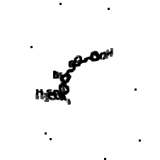 CC(C)(C)OC(=O)N1CCCN(c2ccc(C=CC(=O)CC(=O)C=Cc3ccc(O)cc3)c(Br)c2)CC1